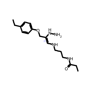 CCC(=O)NCCCN/C=C(/COc1ccc(CC)cc1)NN